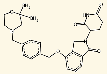 BC1(B)CN(Cc2ccc(COc3cccc4c3CN(C3CCC(=O)NC3=O)C4=O)cc2)CCO1